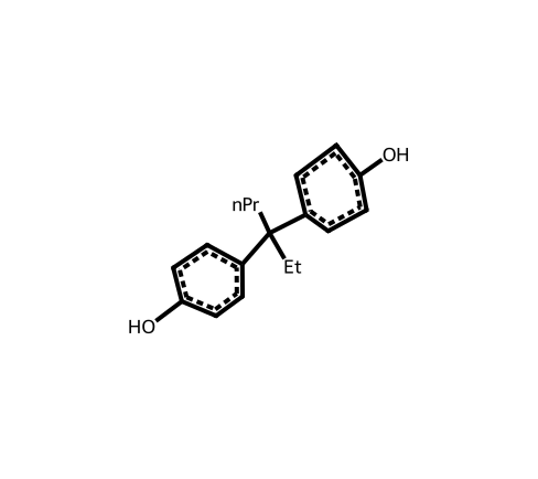 CCCC(CC)(c1ccc(O)cc1)c1ccc(O)cc1